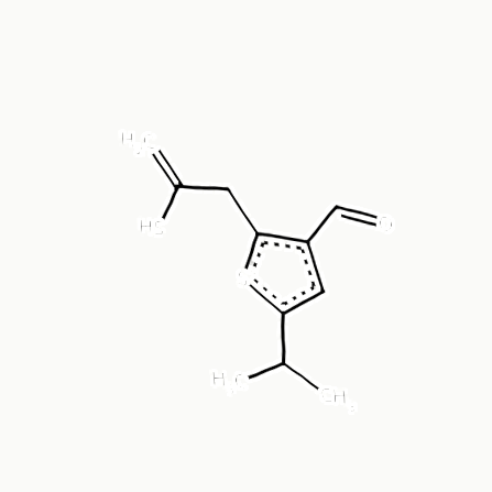 C=C(S)Cc1sc(C(C)C)cc1C=O